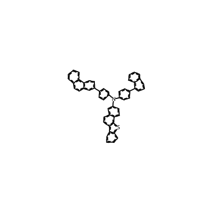 c1ccc2c(-c3ccc(N(c4ccc(-c5ccc6c(ccc7ccccc76)c5)cc4)c4ccc5c(ccc6c7ccccc7sc56)c4)cc3)cccc2c1